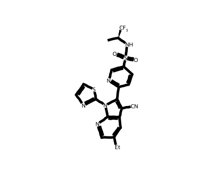 CCc1cnc2c(c1)c(C#N)c(-c1ccc(S(=O)(=O)N[C@@H](C)C(F)(F)F)cn1)n2-c1nccs1